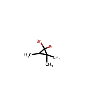 [CH2]C1C(C)(C)C1(Br)Br